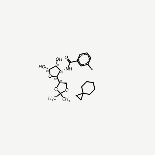 C1CCC2(CC1)CC2.CC1(C)OC[C@H]([C@H]2O[C@H](O)[C@H](O)[C@@H]2NC(=O)c2cccc(F)c2)O1